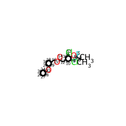 CC(C)C(F)(F)Oc1c(Cl)cc(CC(=O)OCc2cccc(Oc3ccccc3)c2)cc1Cl